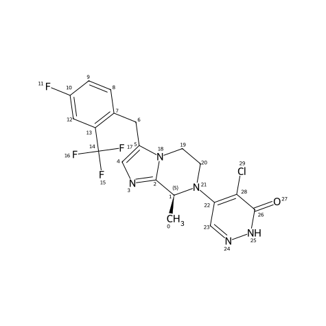 C[C@H]1c2ncc(Cc3ccc(F)cc3C(F)(F)F)n2CCN1c1cn[nH]c(=O)c1Cl